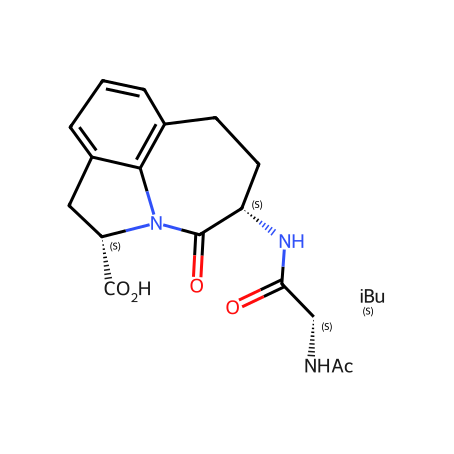 CC[C@H](C)[C@H](NC(C)=O)C(=O)N[C@H]1CCc2cccc3c2N(C1=O)[C@H](C(=O)O)C3